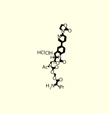 CC(=O)N(C[C@@H]1OC(=O)N2c3ccc(-c4ccc(N5CCOC5=O)nc4)cc3C[C@@H]12)C(=O)OCOC(=O)[C@H](N)C(C)C.Cl.Cl